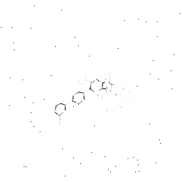 OC[C@H]1OC[C@@H](Oc2nc3nc(-c4ccc(-c5cccc(F)c5)cc4)c(Cl)cc3[nH]2)[C@@H]1O